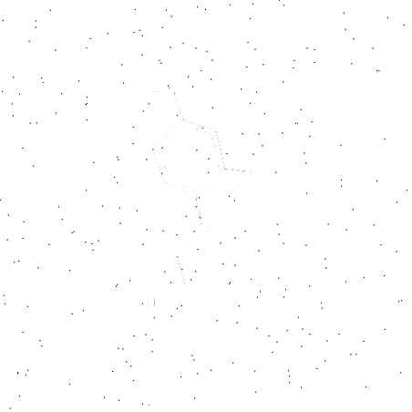 CCCOc1ccc(N)cc1Cl